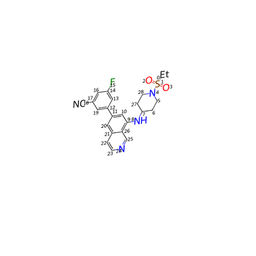 CCS(=O)(=O)N1CCC(Nc2cc(-c3cc(F)cc(C#N)c3)cc3ccncc23)CC1